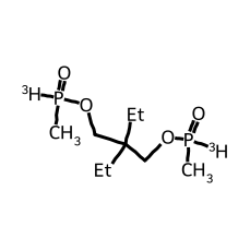 [3H]P(C)(=O)OCC(CC)(CC)COP([3H])(C)=O